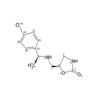 C[C@H](NC[C@H]1CNC(=O)O1)c1ccc(Cl)cc1